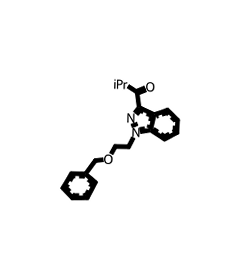 CC(C)C(=O)c1nn(CCOCc2ccccc2)c2ccccc12